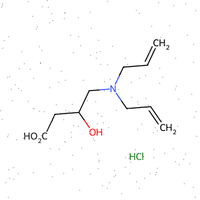 C=CCN(CC=C)CC(O)CC(=O)O.Cl